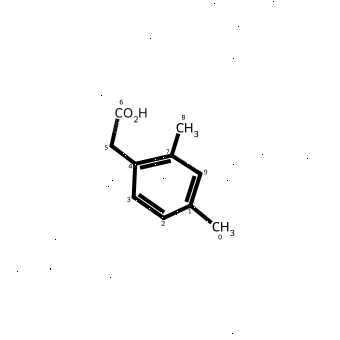 Cc1ccc(CC(=O)O)c(C)c1